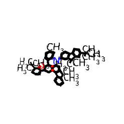 Cc1ccc(-c2cccc3c2oc2c(C(C)(C)C)cccc23)c(N(c2ccc3c(c2)C(C)(C)c2ccccc2-3)c2ccc3c(c2)C(C)(C)c2cc(C(C)(C)C)ccc2-3)c1